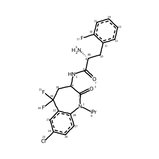 CC(C)N1C(=O)C(NC(=O)[C@H](N)Cc2ccccc2F)CC(F)(F)c2cc(Cl)ccc21